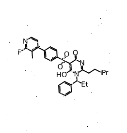 CC[C@@H](c1ccccc1)n1c(CCC(C)C)nc(=O)c(S(=O)(=O)c2ccc(-c3ccnc(F)c3C)cc2)c1O